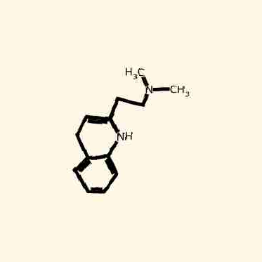 CN(C)CCC1=CCc2ccccc2N1